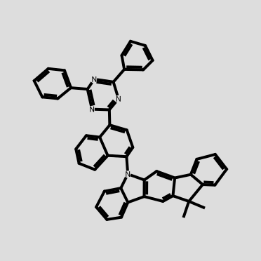 CC1(C)c2ccccc2-c2cc3c(cc21)c1ccccc1n3-c1ccc(-c2nc(-c3ccccc3)nc(-c3ccccc3)n2)c2ccccc12